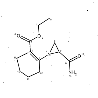 CCOC(=O)C1=C(N2CC2C(N)=O)CCCC1